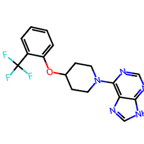 FC(F)(F)c1ccccc1OC1CCN(c2ncnc3[nH]cnc23)CC1